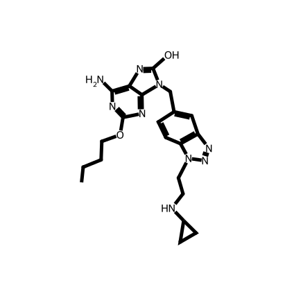 CCCCOc1nc(N)c2nc(O)n(Cc3ccc4c(c3)nnn4CCNC3CC3)c2n1